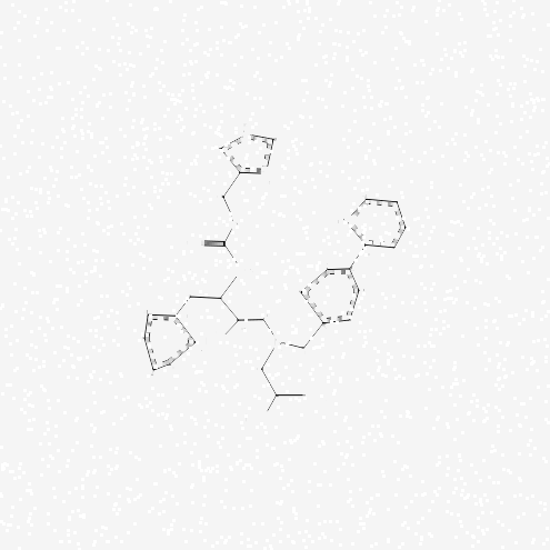 CC(C)CN(Cc1ccc(-c2ccccn2)cc1)CC(O)C(Cc1ccccc1)OC(=O)NCc1cncs1